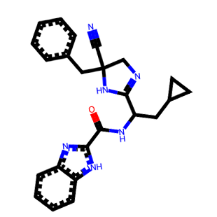 N#CC1(Cc2ccccc2)CN=C(C(CC2CC2)NC(=O)c2nc3ccccc3[nH]2)N1